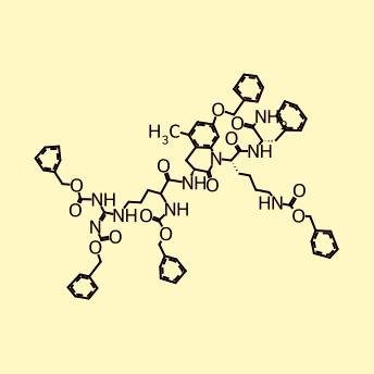 Cc1cc(OCc2ccccc2)cc2c1C[C@H](NC(=O)C(CCCN/C(=N\C(=O)OCc1ccccc1)NC(=O)OCc1ccccc1)NC(=O)OCc1ccccc1)C(=O)N2[C@@H](CCCCNC(=O)OCc1ccccc1)C(=O)N[C@@H](Cc1ccccc1)C(N)=O